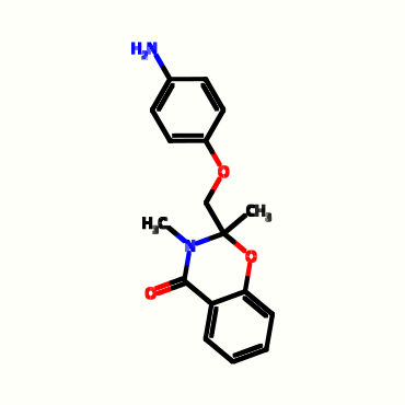 CN1C(=O)c2ccccc2OC1(C)COc1ccc(N)cc1